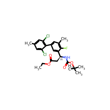 CCOC(=O)C[C@H](NC(=O)OC(C)(C)C)c1cc(-c2c(Cl)cc(C)cc2Cl)cc(C)c1F